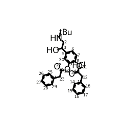 CC(C)(C)NCC(O)c1ccc(OC(=O)Cc2ccccc2)c(OC(=O)Cc2ccccc2)c1.Cl